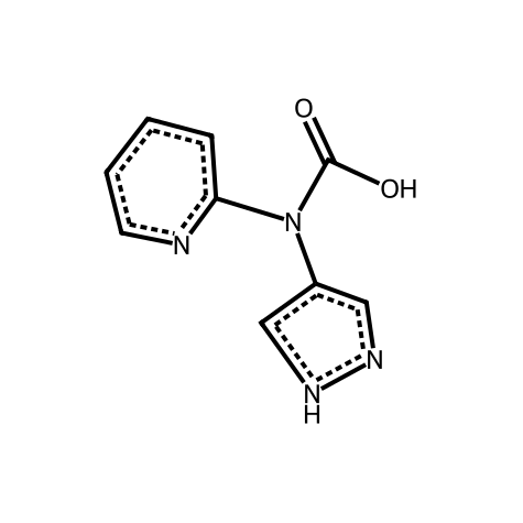 O=C(O)N(c1cn[nH]c1)c1ccccn1